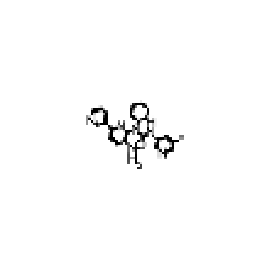 Nc1ccc(-c2cccnc2)nc1N(C(=O)Nc1cncc(F)c1)C1CCCCC1